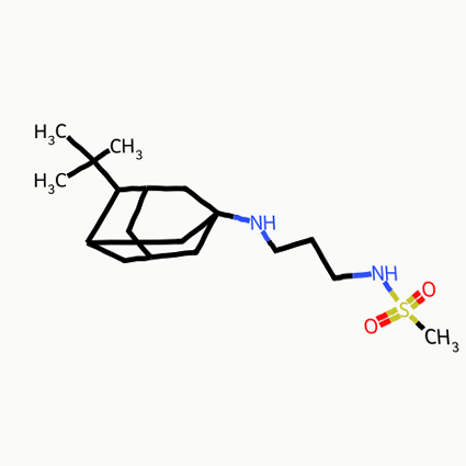 CC(C)(C)C1C2CC3CC1CC(NCCCNS(C)(=O)=O)(C3)C2